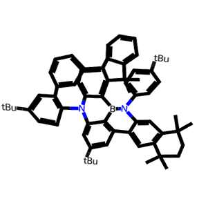 CC(C)(C)c1ccc(N2B3c4c(cc(C(C)(C)C)cc4N(c4ccc(C(C)(C)C)cc4-c4ccccc4)c4ccc5c(c43)C(C)(C)c3ccccc3-5)-c3cc4c(cc32)C(C)(C)CCC4(C)C)cc1